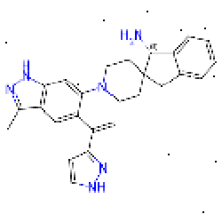 C=C(c1cc[nH]n1)c1cc2c(C)n[nH]c2cc1N1CCC2(CC1)Cc1ccccc1[C@H]2N